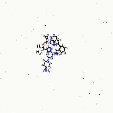 CC(C)c1cnn2c(NCc3ccccc3-c3cc4cccc(NC(=O)C5CC5)c4[nH]3)nc(N3CCC(N)CC3)nc12